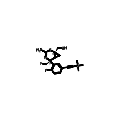 C[Si](C)(C)C#Cc1ccc(F)c([C@@]2(CF)N=C(N)S[C@@]3(CO)CC32)c1